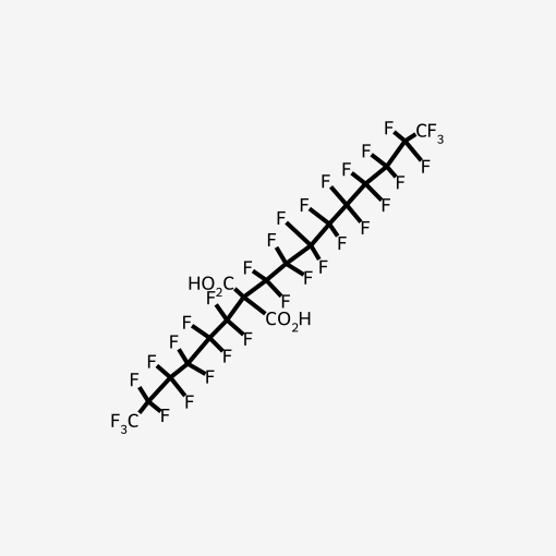 O=C(O)C(C(=O)O)(C(F)(F)C(F)(F)C(F)(F)C(F)(F)C(F)(F)C(F)(F)F)C(F)(F)C(F)(F)C(F)(F)C(F)(F)C(F)(F)C(F)(F)C(F)(F)C(F)(F)C(F)(F)F